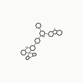 c1ccc(-c2cc(-c3ccc(-c4ccc5c(c4)Oc4ccccc4C54c5ccccc5-c5ccccc54)cc3)nc(-c3ccc4c(c3)sc3ccccc34)c2)cc1